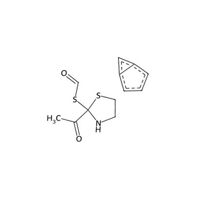 CC(=O)C1(SC=O)NCCS1.c1cc2cc-2c1